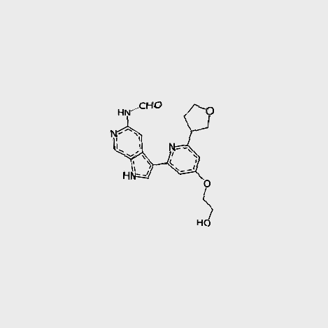 O=CNc1cc2c(-c3cc(OCCO)cc(C4CCOC4)n3)c[nH]c2cn1